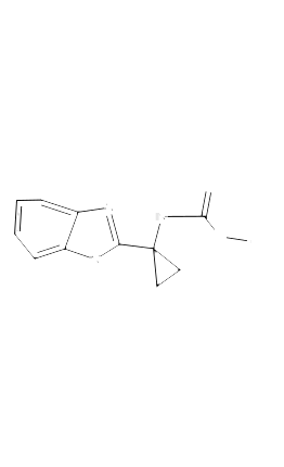 CC(C)(C)OC(=O)NC1(c2nc3ccccc3[nH]2)CC1